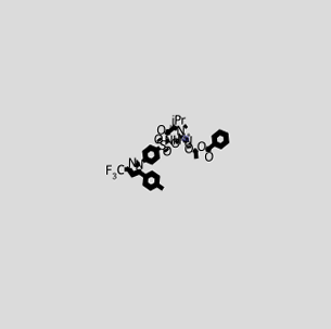 Cc1ccc(-c2cc(C(F)(F)F)nn2-c2ccc(S(=O)(=O)NC(=O)[C@H](C(C)C)N(C)/[N+]([O-])=N/OC(C)OC(=O)c3ccccc3)cc2)cc1